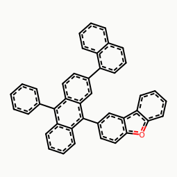 c1ccc(-c2c3ccccc3c(-c3ccc4oc5ccccc5c4c3)c3cc(-c4cccc5ccccc45)ccc23)cc1